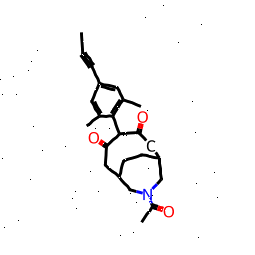 CC#Cc1cc(C)c(C2C(=O)CC3CCC(CC2=O)CN(C(C)=O)C3)c(C)c1